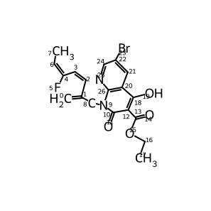 C=C(/C=C\C(F)=C/C)Cn1c(=O)c(C(=O)OCC)c(O)c2cc(Br)cnc21